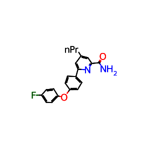 CCCc1cc(C(N)=O)nc(-c2ccc(Oc3ccc(F)cc3)cc2)c1